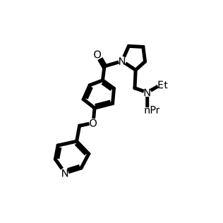 CCCN(CC)CC1CCCN1C(=O)c1ccc(OCc2ccncc2)cc1